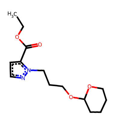 CCOC(=O)c1ccnn1CCCOC1CCCCO1